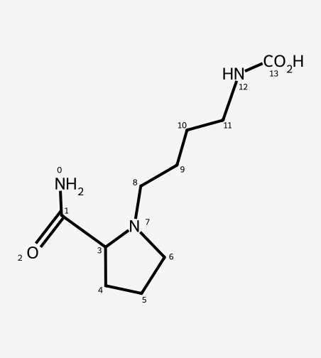 NC(=O)C1CCCN1CCCCNC(=O)O